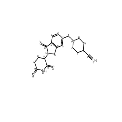 C#CC1CCN(Cc2ccc3c(c2)CN(C2CCC(=O)NC2=O)C3=O)CC1